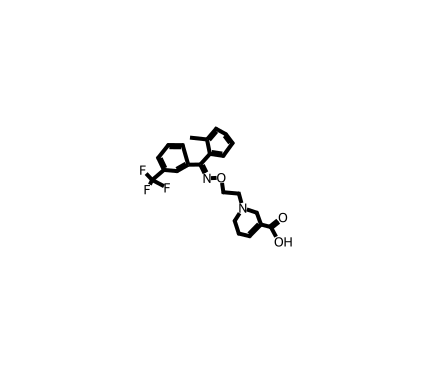 Cc1ccccc1/C(=N\OCCN1CCC=C(C(=O)O)C1)c1cccc(C(F)(F)F)c1